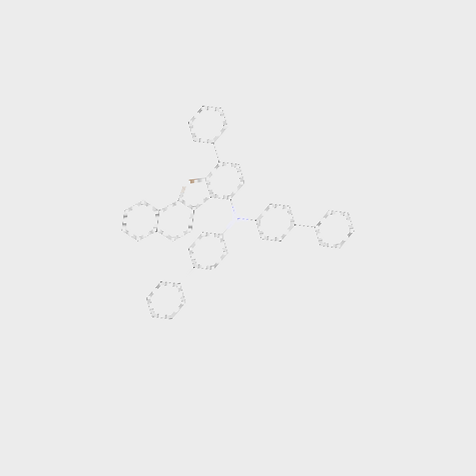 c1ccc(-c2ccc(N(c3ccc(-c4ccccc4)cc3)c3ccc(-c4ccccc4)c4sc5c6ccccc6ccc5c34)cc2)cc1